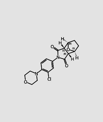 O=C1[C@@H]2[C@H](C(=O)N1c1ccc(N3CCOCC3)c(Cl)c1)[C@H]1CC[C@@H]2O1